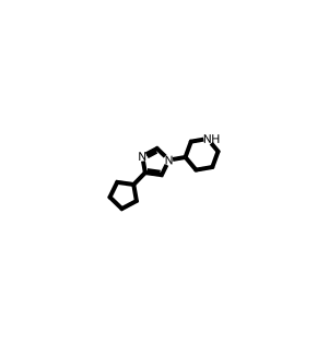 c1nc(C2CCCC2)cn1C1CCCNC1